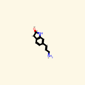 NC/C=C/c1ccc2c(c1)NC(=O)C2